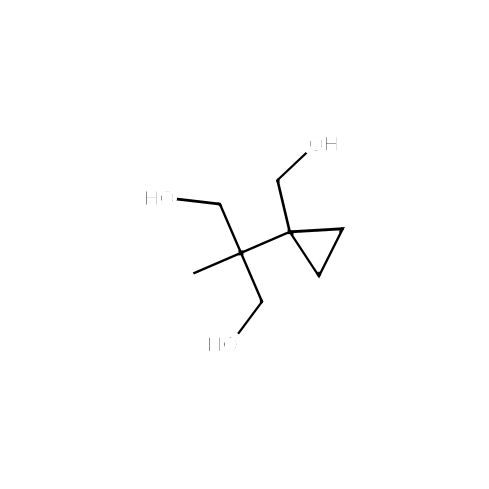 CC(CO)(CO)C1(CO)CC1